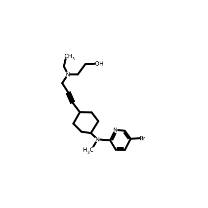 CCN(CC#CC1CCC(N(C)c2ccc(Br)cn2)CC1)CCO